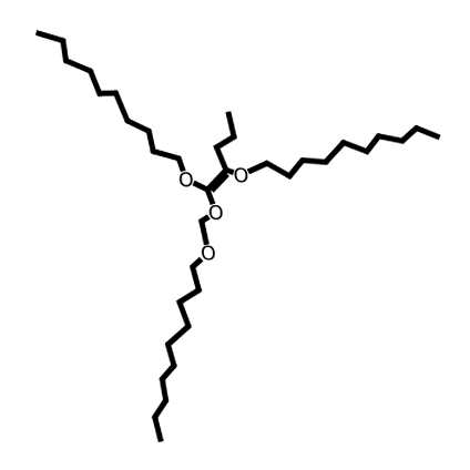 CCCCCCCCCCOCOC(OCCCCCCCCCC)=C(CCC)OCCCCCCCCCC